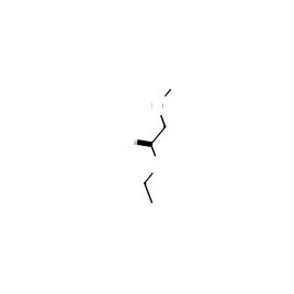 [CH2]CSC(=O)COC